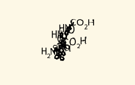 Nc1nc(C(=NOC(c2ccccc2)(c2ccccc2)c2ccccc2)C(=O)N[C@@H]2C(=O)N3C(C(=O)O)=C(C(Cc4ccc(NC(=O)CCC(=O)O)cc4)=C4CCNC4=O)CS[C@H]23)cs1